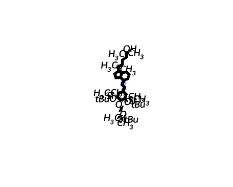 C[C@@H](CCCC(C)(C)O)C1CCC2/C(=C/C=C3C[C@@H](O[Si](C)(C)C(C)(C)C)C(OCCO[Si](C)(C)C(C)(C)C)[C@H](O[Si](C)(C)C(C)(C)C)C3)CCCC21C